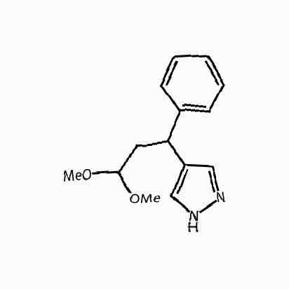 COC(CC(c1ccccc1)c1cn[nH]c1)OC